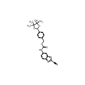 CC1(C)OB(c2ccc(COC(=O)Nc3ccc4nc(C#N)sc4c3)cc2)OC1(C)C